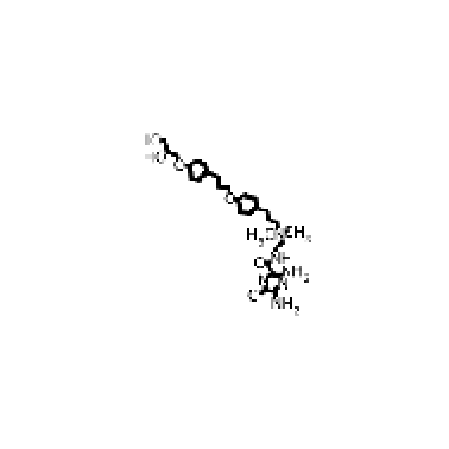 C[N+](C)(CCCc1ccc(OCCCc2ccc(OCC(O)CO)cc2)cc1)CCNC(=O)c1nc(Cl)c(N)nc1N